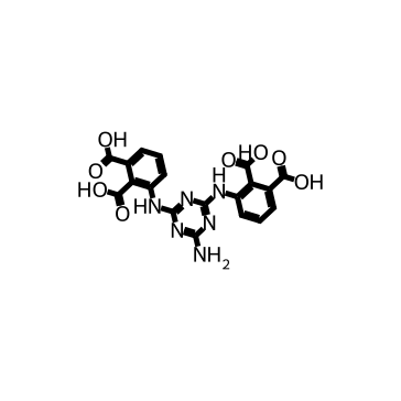 Nc1nc(Nc2cccc(C(=O)O)c2C(=O)O)nc(Nc2cccc(C(=O)O)c2C(=O)O)n1